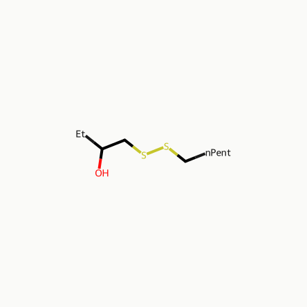 CCCCCCSSCC(O)CC